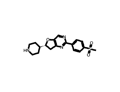 CS(=O)(=O)c1ccc(-c2ncc3c(n2)C[C@H](C2CCNCC2)O3)cc1